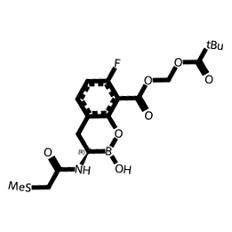 CSCC(=O)N[C@H]1Cc2ccc(F)c(C(=O)OCOC(=O)C(C)(C)C)c2OB1O